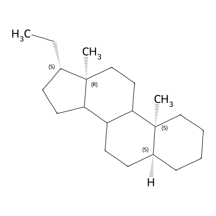 CC[C@H]1CCC2C3CC[C@@H]4CCCC[C@]4(C)C3CC[C@@]21C